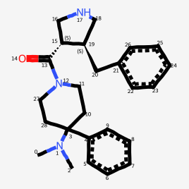 CN(C)C1(c2ccccc2)CCN(C(=O)[C@@H]2CNC[C@H]2Cc2ccccc2)CC1